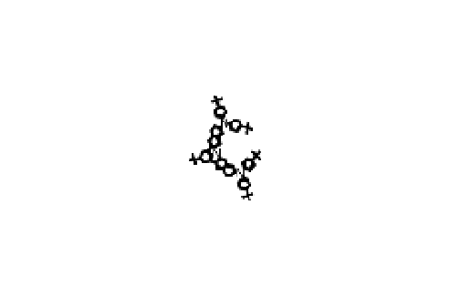 CC(C)(C)C1=CCC(N(c2ccc(C(C)(C)C)cc2)c2ccc3cc4c5cc(C(C)(C)C)cc6c7cc8ccc(N(c9ccc(C(C)(C)C)cc9)c9ccc(C(C)(C)C)cc9)cc8cc7n(c4cc3c2)c65)C=C1